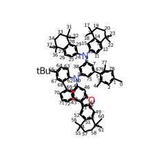 Cc1cc(C)c(-c2cc(N(c3ccc4c(c3)C(C)(C)CCC4(C)C)c3ccc4c(c3)C(C)(C)CCC4(C)C)cc(N(c3ccc4c(c3)oc3cc5c(cc34)C(C)(C)CCC5(C)C)c3ccc(C(C)(C)C)cc3-c3ccccc3)c2)c(C)c1